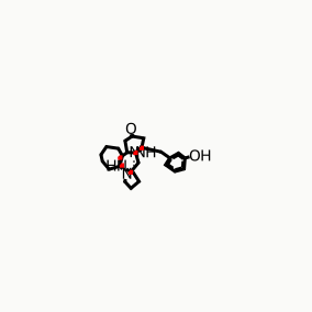 O=C1CC2CNCCC23C(C1)C(Cc1cccc(O)c1)NN3[C@@H]1CCCN1C1CCCCCC1